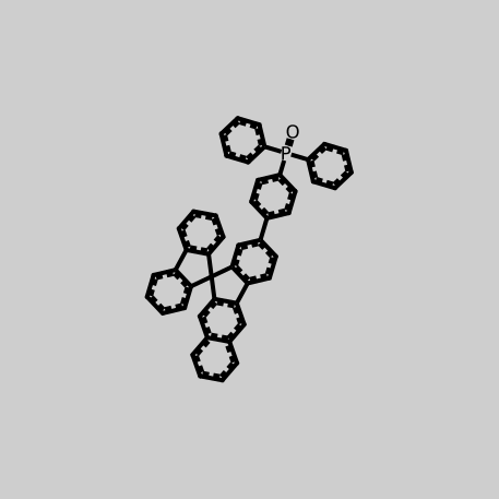 O=P(c1ccccc1)(c1ccccc1)c1ccc(-c2ccc3c(c2)C2(c4ccccc4-c4ccccc42)c2cc4ccccc4cc2-3)cc1